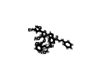 CCc1cc(C2O[C@@H](n3cnc4c(NCCC5CCCCC5)nc(N[C@H](CO)Cc5ccccc5)nc43)[C@H](OC=O)[C@@H]2O)on1